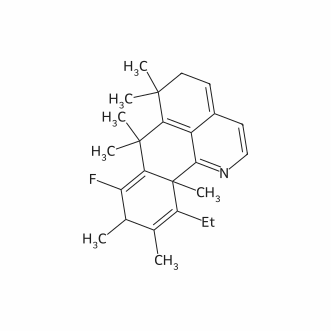 CCC1=C(C)C(C)C(F)=C2C(C)(C)C3=c4c(nccc4=CCC3(C)C)C12C